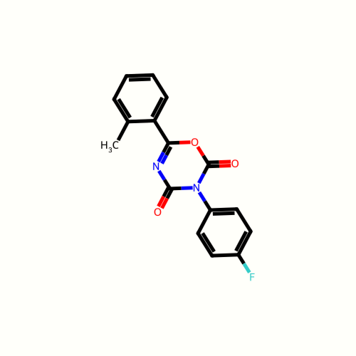 Cc1ccccc1-c1nc(=O)n(-c2ccc(F)cc2)c(=O)o1